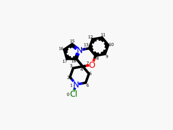 ClN1CCC2(CC1)Oc1ccccc1-n1cccc12